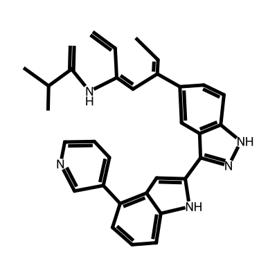 C=C/C(=C\C(=C/C)c1ccc2[nH]nc(-c3cc4c(-c5cccnc5)cccc4[nH]3)c2c1)NC(=C)C(C)C